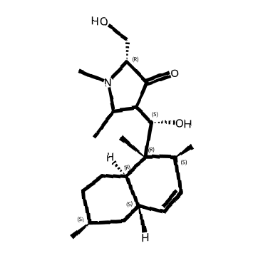 CC1C([C@H](O)[C@@]2(C)[C@@H]3CC[C@H](C)C[C@H]3C=C[C@@H]2C)C(=O)[C@@H](CO)N1C